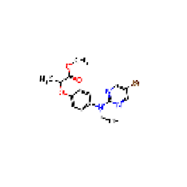 CCN(c1ccc(OC(C)C(=O)OC)cc1)c1ncc(Br)cn1